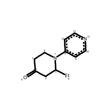 CCC1CC(=O)CCN1c1ccncc1